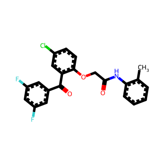 Cc1ccccc1NC(=O)COc1ccc(Cl)cc1C(=O)c1cc(F)cc(F)c1